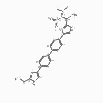 CN(C)N([C@H](c1nc(-c2ccc(-c3ccc(-c4c[nH]c(CC(C)(C)C)n4)cc3)cc2)c[nH]1)C(C)(C)C)[SH](=O)=O